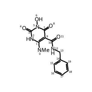 CNc1[nH]c(=O)n(O)c(=O)c1C(=O)NCc1ccccc1